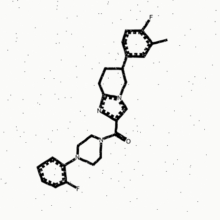 Cc1cc(C2CCc3nc(C(=O)N4CCN(c5ccccc5F)CC4)cn3C2)ccc1F